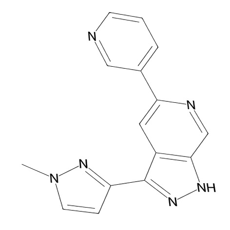 Cn1ccc(-c2n[nH]c3cnc(-c4cccnc4)cc23)n1